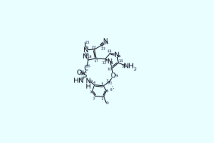 Cc1ccc2c(c1)[C@@H](C)Oc1nc(cnc1N)-c1c(nn(C)c1C#N)CS(=N)(=O)N2